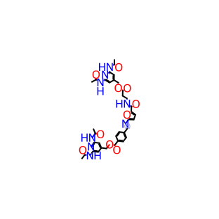 CC(=O)Nc1cc(COC(=O)CCNC(=O)c2ccc(/N=C/c3ccc(C(=O)OCc4cc(NC(C)=O)nc(NC(C)=O)c4)cc3)o2)cc(NC(C)=O)n1